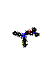 C1=CC2c3cc(-c4nc(-c5ccc(-c6ccccc6)cc5)nc(-c5ccc6c(c5)sc5ccccc56)n4)ccc3OC2c2c1n(-c1ccccc1)c1ccccc21